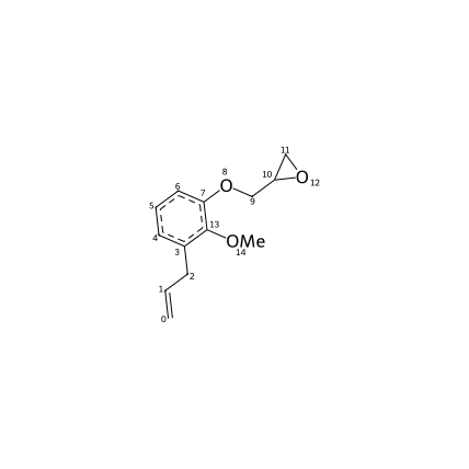 C=CCc1cccc(OCC2CO2)c1OC